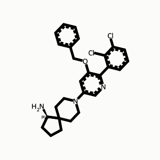 N[C@@H]1CCCC12CCN(c1cnc(-c3cccc(Cl)c3Cl)c(OCc3ccccc3)c1)CC2